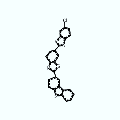 Clc1ccc2nc(-c3ccc4nc(-c5ccc6sc7ccccc7c6c5)sc4c3)sc2c1